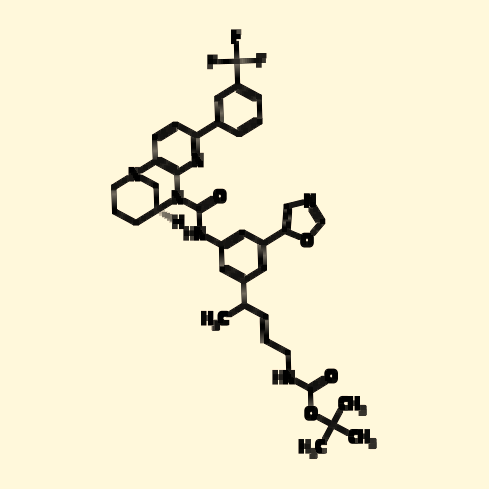 CC(/C=C/CNC(=O)OC(C)(C)C)c1cc(NC(=O)N2c3nc(-c4cccc(C(F)(F)F)c4)ccc3N3CCC[C@H]2C3)cc(-c2cnco2)c1